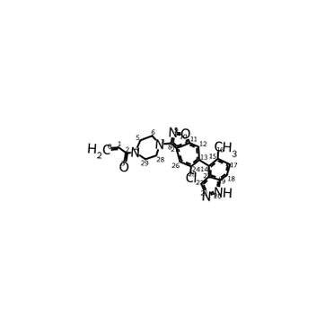 C=CC(=O)N1CCN(c2noc3cc(-c4c(C)ccc5[nH]ncc45)c(Cl)cc23)CC1